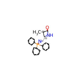 C[C@@H]1C(=O)N[C@@H]1CN=P(c1ccccc1)(c1ccccc1)c1ccccc1